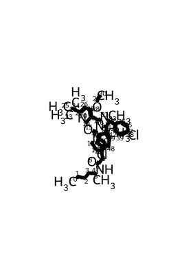 CCCC[C@H](C)NC(=O)CC1CCN(C(=O)N2C(c3cnc(C(C)(C)C)cc3OCC)=N[C@@](C)(c3ccc(Cl)cc3)[C@@]2(C)c2ccc(Cl)cc2)CC1